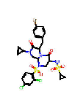 O=C1C(Cc2ccc(Br)cc2)N2C(=O)C(NS(=O)(=O)C3CC3)CN(S(=O)(=O)c3ccc(Cl)cc3Cl)C2CN1C1CC1